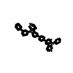 c1ccc(-c2cccc(-n3c4ccc(-c5ccc(-c6ccc7c(c6)c6ccncc6n7-c6ccccc6)cc5)cc4c4ccncc43)c2)cc1